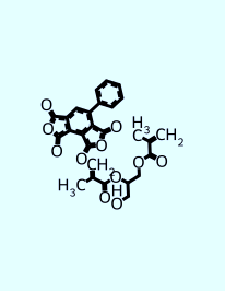 C=C(C)C(=O)OCC(CO)OC(=O)C(=C)C.O=c1oc(=O)c2c1cc(-c1ccccc1)c1c(=O)oc(=O)c12